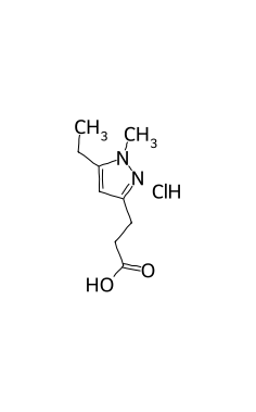 CCc1cc(CCC(=O)O)nn1C.Cl